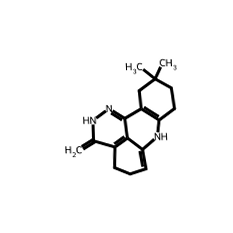 C=C1NN=C2C3=C(CCC(C)(C)C3)NC3=CCCC1=C32